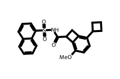 COc1ccc(C2CCC2)c2c1C(C(=O)NS(=O)(=O)c1cccc3ccccc13)C2